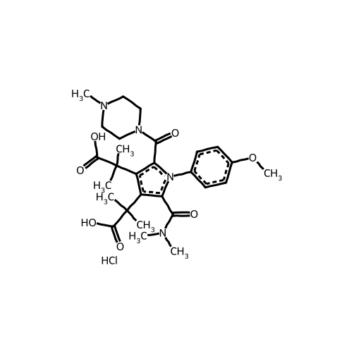 COc1ccc(-n2c(C(=O)N(C)C)c(C(C)(C)C(=O)O)c(C(C)(C)C(=O)O)c2C(=O)N2CCN(C)CC2)cc1.Cl